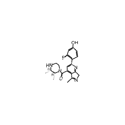 CC1=NCc2nc(-c3ccc(O)cc3F)cc(C(=O)N3CCN[C@@H](C)[C@H]3C)c21